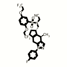 C[C@@H]1C2=C(CC[C@@H]2CN(CC#N)S(=O)(=O)c2cc(OCC(F)(F)F)ccc2OCC(F)(F)F)Cc2c1cnn2-c1ccc(F)cc1